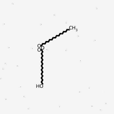 CCCCCCCCCCCCCCCCCC(=O)OC(=O)CCCCCCCCCCCCCCCCCO